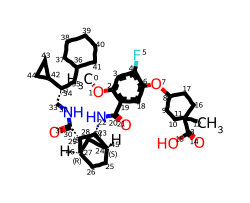 COc1cc(F)c(OC2CCC(C)(C(=O)O)CC2)cc1C(=O)N[C@@H]1[C@H]2CC[C@H](C2)[C@@H]1C(=O)NC[C@@H](CC1CCCCC1)C1CC1